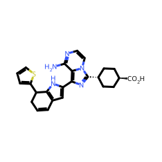 Nc1nccn2c1c(-c1cc3c([nH]1)C(c1cccs1)CC=C3)nc2[C@H]1CC[C@H](C(=O)O)CC1